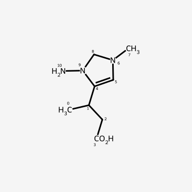 CC(CC(=O)O)C1=CN(C)CN1N